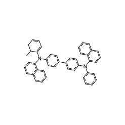 CC1CC=CC=C1N(c1ccc(-c2ccc(N(c3ccccc3)c3cccc4ccccc34)cc2)cc1)c1cccc2ccccc12